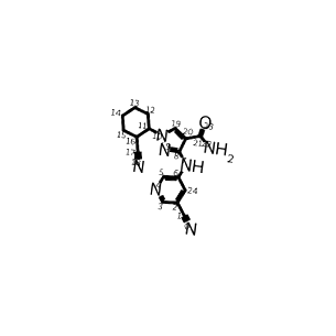 N#Cc1cncc(Nc2nn(C3CCCCC3C#N)cc2C(N)=O)c1